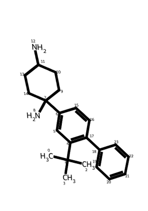 CC(C)(C)c1cc(C2(N)CCC(N)CC2)ccc1-c1ccccc1